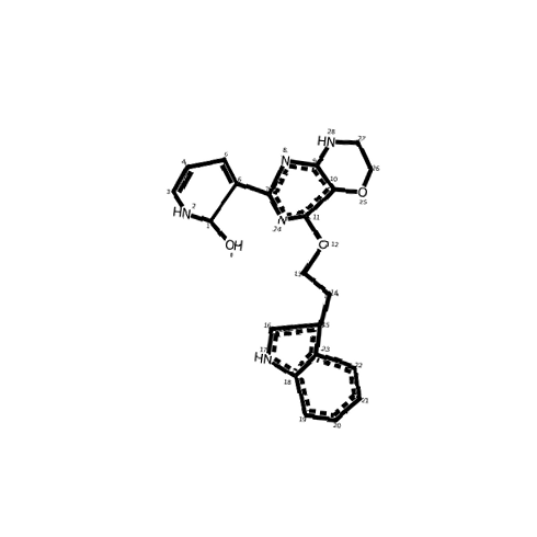 OC1NC=CC=C1c1nc2c(c(OCCc3c[nH]c4ccccc34)n1)OCCN2